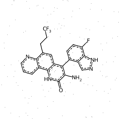 Nc1c(-c2ccc(F)c3[nH]ncc23)c2cc(CCC(F)(F)F)c3ncccc3c2[nH]c1=O